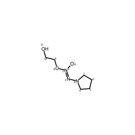 [O-]/[N+](=N\N1CCCC1)OCCO